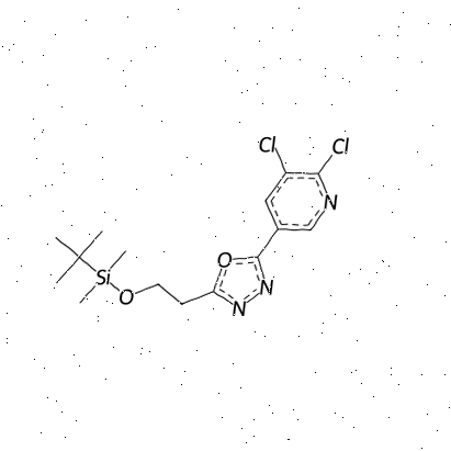 CC(C)(C)[Si](C)(C)OCCc1nnc(-c2cnc(Cl)c(Cl)c2)o1